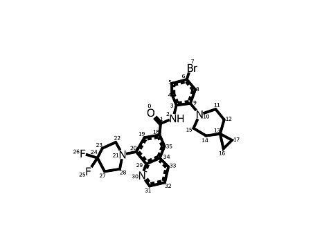 O=C(Nc1ccc(Br)cc1N1CCC2(CC1)CC2)c1cc(N2CCC(F)(F)CC2)c2ncccc2c1